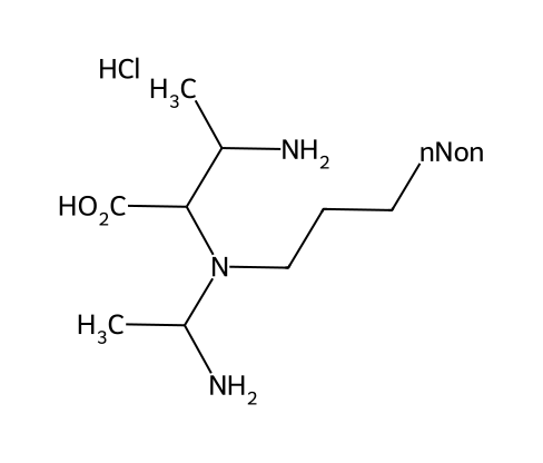 CCCCCCCCCCCCN(C(C)N)C(C(=O)O)C(C)N.Cl